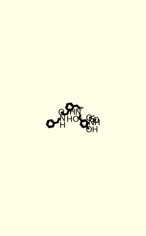 C[C@H](Cc1cccc(CC(=O)NCCc2ccccc2)c1)NC[C@@H](O)c1ccc(O)c(NS(C)(=O)=O)c1